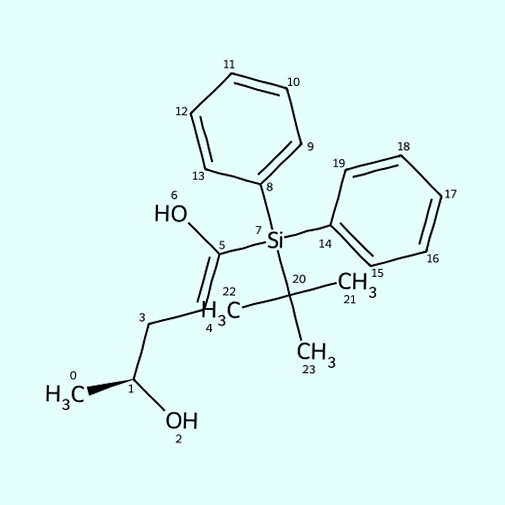 C[C@H](O)CC=C(O)[Si](c1ccccc1)(c1ccccc1)C(C)(C)C